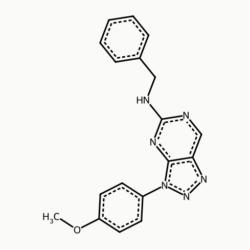 COc1ccc(-n2nnc3cnc(NCc4ccccc4)nc32)cc1